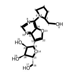 OCC1CCCN1c1ncnc2c([C@@H]3O[C@H](CO)[C@@H](O)[C@H]3O)coc12